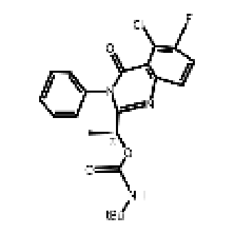 C[C@H](OC(=O)NC(C)(C)C)c1nc2ccc(F)c(Cl)c2c(=O)n1-c1ccccc1